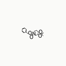 CC1(C)OC2CCN(C(=O)OCc3ccccc3)CC2O1